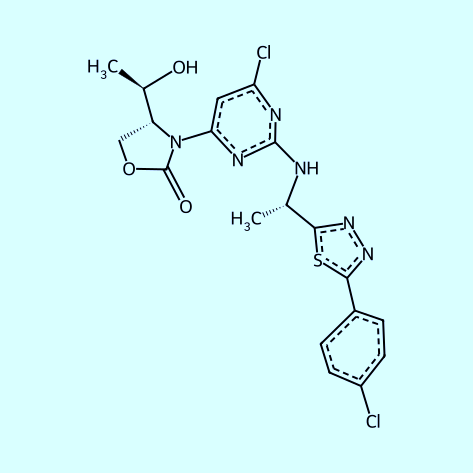 C[C@H](Nc1nc(Cl)cc(N2C(=O)OC[C@@H]2[C@@H](C)O)n1)c1nnc(-c2ccc(Cl)cc2)s1